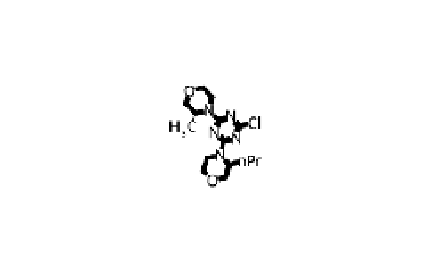 CCCC1COCCN1c1nc(Cl)nc(N2CCOC[C@H]2C)n1